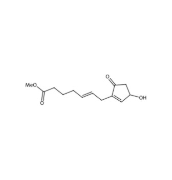 COC(=O)CCCC=CCC1=CC(O)CC1=O